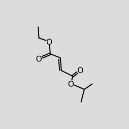 CCOC(=O)/C=C/C(=O)OC(C)C